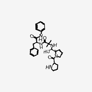 CC(C)(NC(O)[C@H]1CCCN1C(=O)C1CCCN1)C(=O)NC(Cc1ccccc1)C(=O)Nc1ccccc1